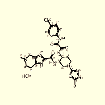 Cc1nnc(N2CC[C@H](NC(=O)C(=O)Nc3ccc(Cl)cn3)[C@H](NC(=O)c3nc4c(s3)CN(C)CC4)C2)o1.Cl